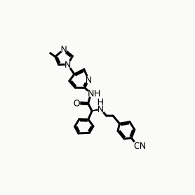 Cc1cn(-c2ccc(NC(=O)[C@@H](NCCc3ccc(C#N)cc3)c3ccccc3)nc2)cn1